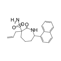 C=CCC1(S(N)(=O)=O)CCCC(c2cccc3ccccc23)NC1=O